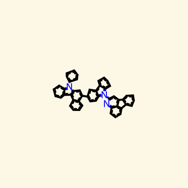 c1ccc(-n2c3ccccc3c3c4ccccc4c(-c4ccc5c(c4)c4ccccc4n5-c4cc5c6c(cccc6n4)-c4ccccc4-5)cc32)cc1